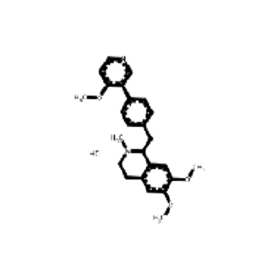 COc1cc2c(cc1OC)C(Cc1ccc(-c3cnccc3OC)cc1)N(C)CC2.Cl